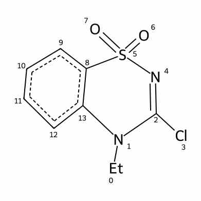 CCN1C(Cl)=NS(=O)(=O)c2ccccc21